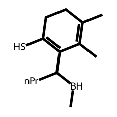 CBC(CCC)C1=C(S)CCC(C)=C1C